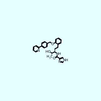 C[C@H](O)[C@@H](CCc1ccccc1OCc1ccc(-c2ccccn2)cc1)NC(=O)c1c[nH]cn1